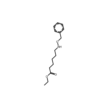 CCOC(=O)CCCCCNOCc1ccccc1